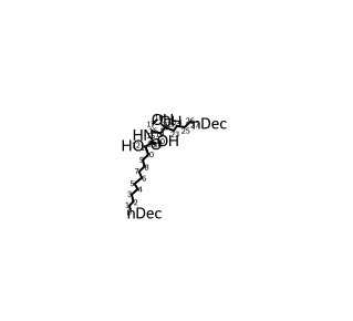 CCCCCCCCCCCCCCCCCCCCC(O)C(=O)N[C@H](CO)[C@H](O)C(O)CCCCCCCCCCCCCC